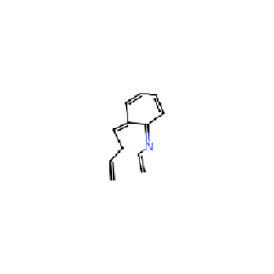 C=CC/C=C1/C=CC=C/C1=N/C=C